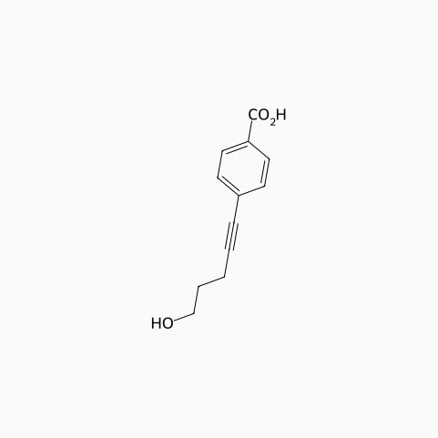 O=C(O)c1ccc(C#CCCCO)cc1